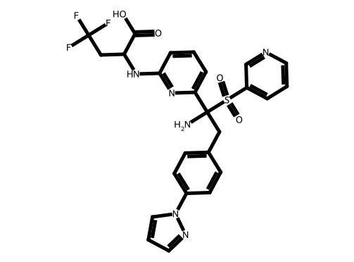 NC(Cc1ccc(-n2cccn2)cc1)(c1cccc(NC(CC(F)(F)F)C(=O)O)n1)S(=O)(=O)c1cccnc1